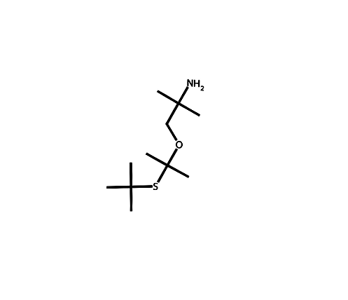 CC(C)(N)COC(C)(C)SC(C)(C)C